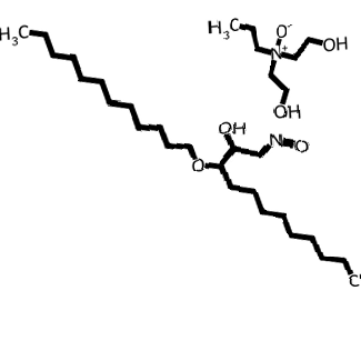 CCCCCCCCCCCCOC(CCCCCCCCC)C(O)CN=O.CCC[N+]([O-])(CCO)CCO